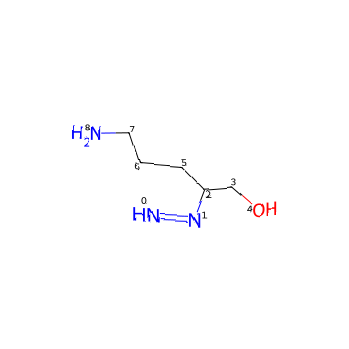 N=NC(CO)CCCN